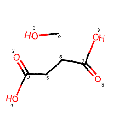 CO.O=C(O)CCC(=O)O